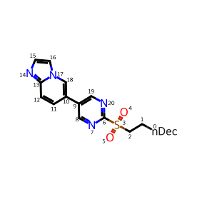 CCCCCCCCCCCCS(=O)(=O)c1ncc(-c2ccc3nccn3c2)cn1